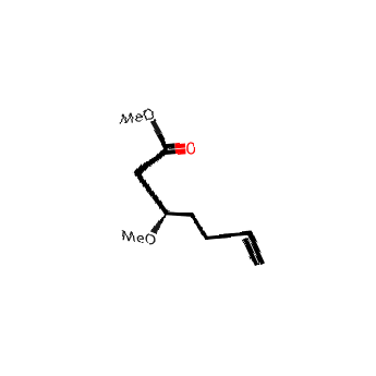 C=CCC[C@H](CC(=O)OC)OC